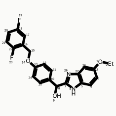 CCOc1ccc2[nH]c(C(O)c3ccc(OCc4cc(F)ccc4F)cc3)nc2c1